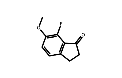 COc1ccc2c(c1F)C(=O)CC2